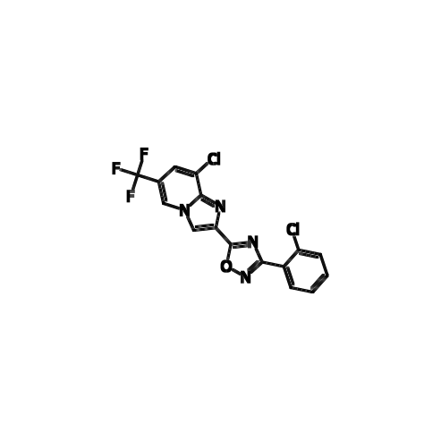 FC(F)(F)c1cc(Cl)c2nc(-c3nc(-c4ccccc4Cl)no3)cn2c1